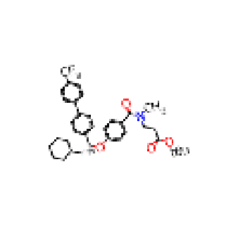 CN(CCC(=O)OC(C)(C)C)C(=O)c1ccc(O[C@H](CC2CCCCC2)c2ccc(-c3ccc(C(F)(F)F)cc3)cc2)cc1